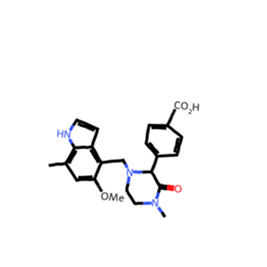 COc1cc(C)c2[nH]ccc2c1CN1CCN(C)C(=O)C1c1ccc(C(=O)O)cc1